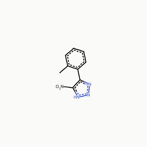 Cc1ccccc1-c1nn[nH]c1[N+](=O)[O-]